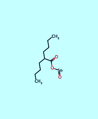 CCCCC(CCCC)C(=O)[O][Sn]=[O]